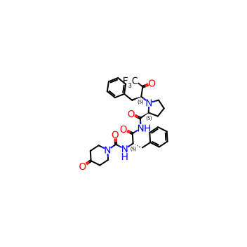 O=C1CCN(C(=O)N[C@@H](Cc2ccccc2)C(=O)NC(=O)[C@@H]2CCCN2[C@@H](Cc2ccccc2)C(=O)C(F)(F)F)CC1